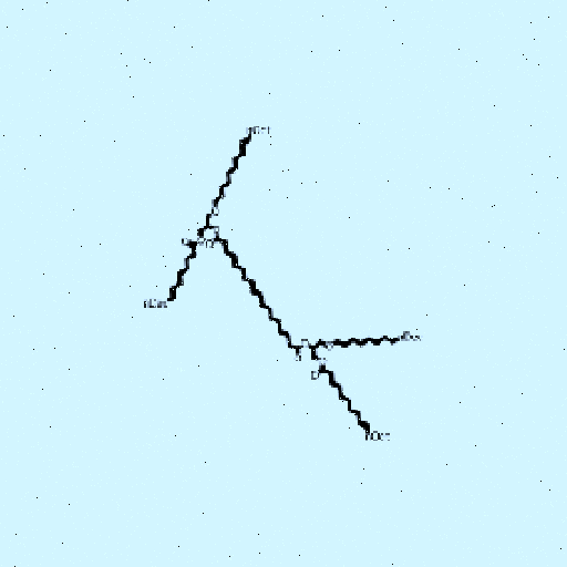 CCCCCCCCC=CCCCCCCCCOCC(COC(=O)CCCCCCCCCCCCCCCCC)OC(=O)CCCCCCCC=CCCCCCCCC(=O)OC(COCCCCCCCCCCCCCCCCCC)COC(=O)CCCCCCCC=CCCCCCCCC